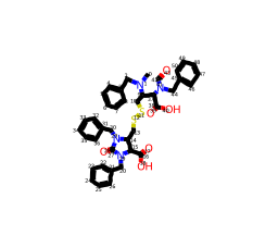 CN(Cc1ccccc1)C(CSSCC1C(C(=O)O)N(Cc2ccccc2)C(=O)N1Cc1ccccc1)C(C(=O)O)N(C=O)Cc1ccccc1